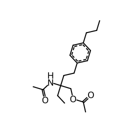 CCCc1ccc(CCC(CC)(COC(C)=O)NC(C)=O)cc1